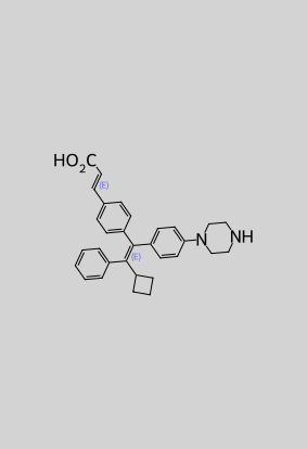 O=C(O)/C=C/c1ccc(/C(=C(\c2ccccc2)C2CCC2)c2ccc(N3CCNCC3)cc2)cc1